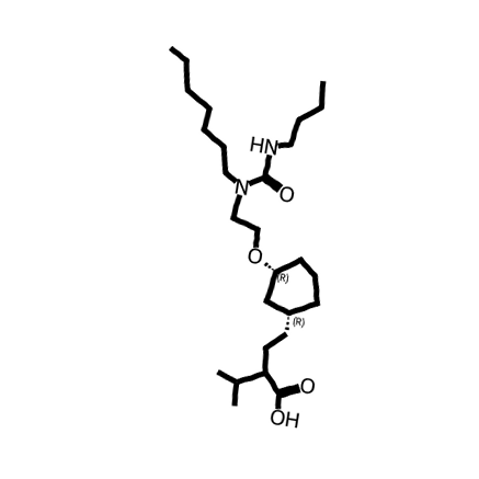 CCCCCCCN(CCO[C@@H]1CCC[C@H](CCC(C(=O)O)C(C)C)C1)C(=O)NCCCC